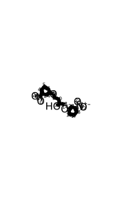 O=[N+]([O-])c1cccc(OCCC(O)COc2cccc([N+](=O)[O-])c2)c1